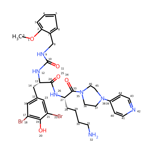 COc1ccccc1CNC(=O)N[C@@H](Cc1cc(Br)c(O)c(Br)c1)C(=O)N[C@@H](CCCCN)C(=O)N1CCN(c2ccncc2)CC1